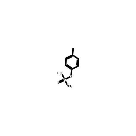 Cc1ccc(SP(N)(N)=S)cc1